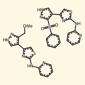 COCc1n[nH]cc1-c1csc(Nc2ccccn2)n1.O=S(=O)(c1ccccc1)c1n[nH]cc1-c1csc(Nc2ccccn2)n1